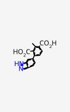 Cc1c(C(=O)O)ccc(-c2ccc3cn[nH]c3c2)c1C(=O)O